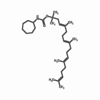 CC(C)=CCC/C(C)=C/CC/C(C)=C/CC/C(C)=C/CC(C)(C)OC(=O)NC1CCCCCC1